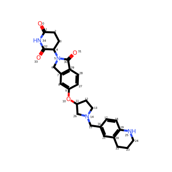 O=C1CCC(N2Cc3cc(OC4CCN(Cc5ccc6c(c5)CCCN6)C4)ccc3C2=O)C(=O)N1